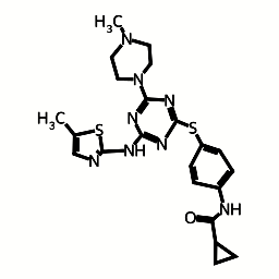 Cc1cnc(Nc2nc(Sc3ccc(NC(=O)C4CC4)cc3)nc(N3CCN(C)CC3)n2)s1